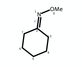 CO/N=C1\[CH]CCCC1